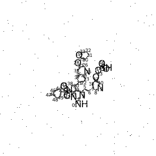 CNc1nc(C=Cc2cncc(OCO[SH](=O)=O)c2)c2c(-c3ccc4ncc(OC5CCCCO5)cc4c3)cn(S(=O)(=O)c3ccc(C)cc3)c2n1